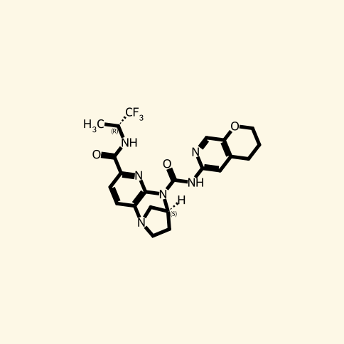 C[C@@H](NC(=O)c1ccc2c(n1)N(C(=O)Nc1cc3c(cn1)OCCC3)[C@H]1CCN2C1)C(F)(F)F